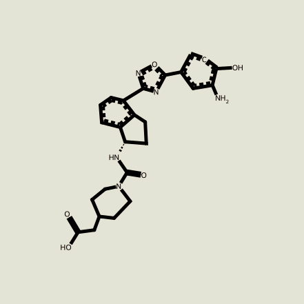 Nc1cc(-c2nc(-c3cccc4c3CC[C@@H]4NC(=O)N3CCC(CC(=O)O)CC3)no2)ccc1O